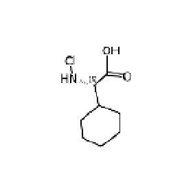 O=C(O)[C@@H](NCl)C1CCCCC1